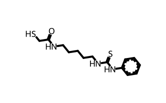 O=C(CS)NCCCCCNC(=S)Nc1ccccc1